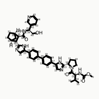 COC(=O)N[C@H](C(=O)N1CCC[C@H]1c1ncc(-c2ccc(-c3ccc(-c4cnc([C@@H]5[C@H]6CC[C@H](C6)[C@H]5C(=O)N[C@H](CO)c5cccnc5)[nH]4)cc3)cc2)[nH]1)C(C)C